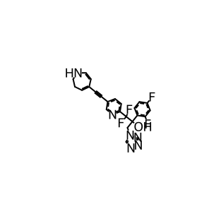 OC(Cn1cnnn1)(c1ccc(F)cc1F)C(F)(F)c1ccc(C#CC2=CCCNC=C2)cn1